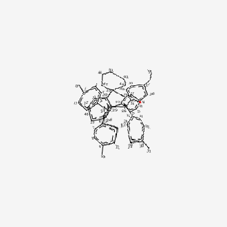 Cc1ccc(N(c2ccc(C)cc2)c2ccccc2C2(c3ccccc3N(c3ccc(C)cc3)c3ccc(C)cc3)CCCCC2)cc1